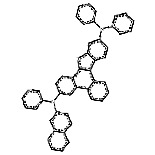 c1ccc(N(c2ccccc2)c2ccc3c(c2)oc2c4ccc(N(c5ccccc5)c5ccc6ccccc6c5)cc4c4ccccc4c32)cc1